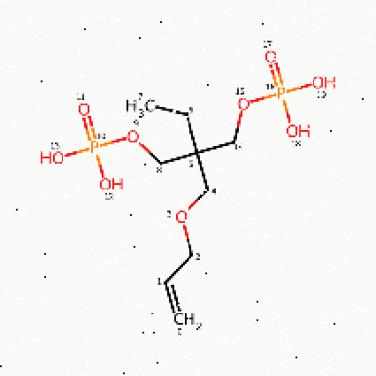 C=CCOCC(CC)(COP(=O)(O)O)COP(=O)(O)O